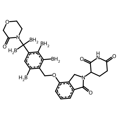 Bc1cc(C(B)(B)N2CCOCC2=O)c(B)c(B)c1COc1cccc2c1CN(C1CCC(=O)NC1=O)C2=O